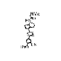 CNCC(=O)N[C@H]1CCCc2c(-c3nnc(-c4ccc(OC(C)C)c(C#N)c4)s3)cccc21